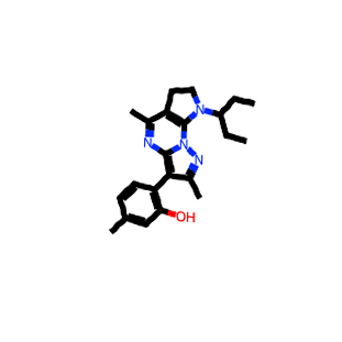 CCC(CC)N1CCc2c(C)nc3c(-c4ccc(C)cc4O)c(C)nn3c21